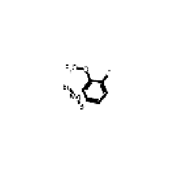 Fc1c[c]ccc1OC(F)(F)F.[Br][Mg][Br]